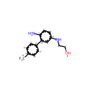 Nc1ccc(NCCO)cc1-c1ccc(C(F)(F)F)cc1